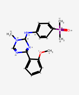 COc1ccccc1C1=NC(Nc2ccc(P(C)(C)=O)cc2)N(C)C=N1